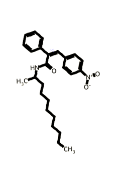 CCCCCCCCCC(C)NC(=O)/C(=C\c1ccc([N+](=O)[O-])cc1)c1ccccc1